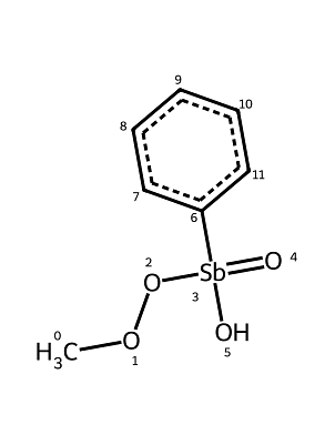 CO[O][Sb](=[O])([OH])[c]1ccccc1